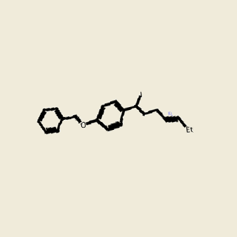 CC/C=C/CCC(I)c1ccc(OCc2ccccc2)cc1